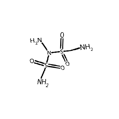 NN(S(N)(=O)=O)S(N)(=O)=O